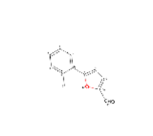 Cc1ccccc1-c1ccc(C=O)o1